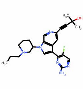 CCCN1CCCC(n2cc(-c3nc(N)ncc3F)c3cc(C#CC(C)(C)O)ncc32)C1